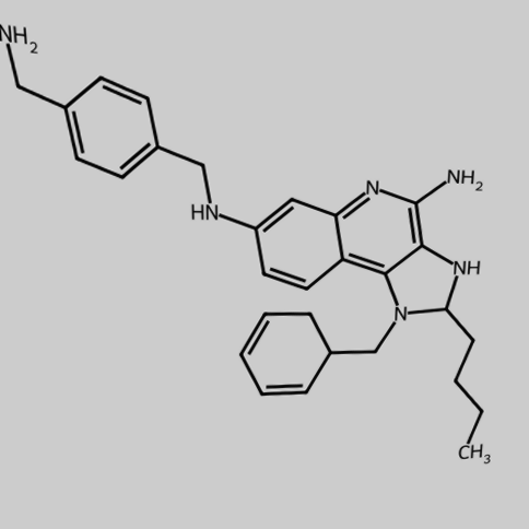 CCCCC1Nc2c(N)nc3cc(NCc4ccc(CN)cc4)ccc3c2N1CC1C=CC=CC1